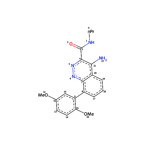 CCCNC(=O)c1nnc2c(-c3cc(OC)ccc3OC)cccc2c1N